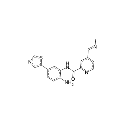 C/N=C/c1ccnc(C(=O)Nc2cc(-c3cncs3)ccc2N)c1